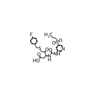 CCCS(=O)(=O)c1cncc(NC(=O)N[C@@H](CC(=O)O)C(=O)CSCc2ccc(F)cc2)c1